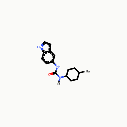 CCCCC1CCC(N(CC)C(=O)Nc2ccc3[nH]ccc3c2)CC1